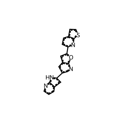 c1cnc2[nH]c(-c3cnc4oc(-c5ccc6ccsc6n5)cc4c3)cc2c1